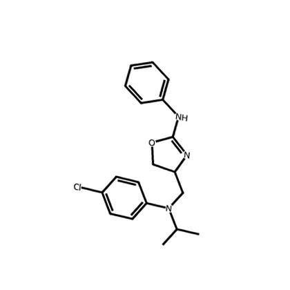 CC(C)N(CC1COC(Nc2ccccc2)=N1)c1ccc(Cl)cc1